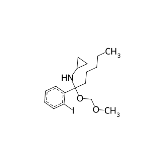 CCCCCC(NC1CC1)(OCOC)c1ccccc1I